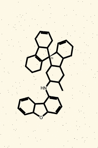 CC1CC2C3CCC=CC3[C@]3(C4=C(CCCC4)C4CC=CCC43)C2CC1NC1=CC=CC2OC3C=CC=CC3C12